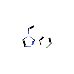 C=CCl.C=COC(C)=O.C=Cn1ccnc1